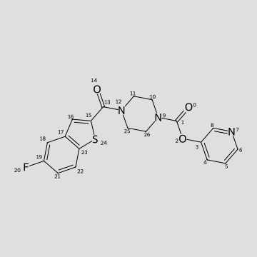 O=C(Oc1cccnc1)N1CCN(C(=O)c2cc3cc(F)ccc3s2)CC1